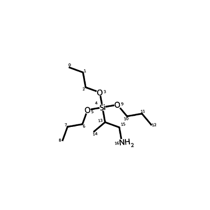 CCCO[Si](OCCC)(OCCC)C(C)CN